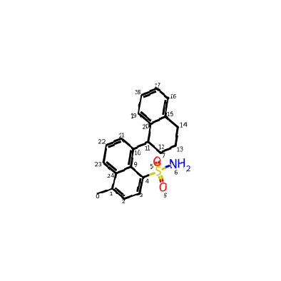 Cc1ccc(S(N)(=O)=O)c2c(C3CCCc4ccccc43)cccc12